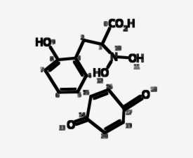 O=C(O)C(Cc1ccccc1O)N(O)O.O=C1C=CC(=O)C=C1